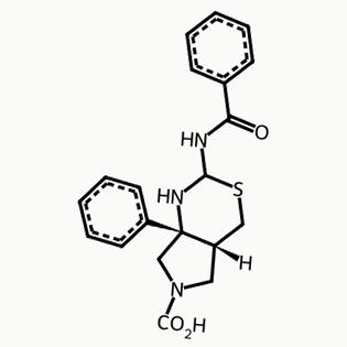 O=C(NC1N[C@@]2(c3ccccc3)CN(C(=O)O)C[C@H]2CS1)c1ccccc1